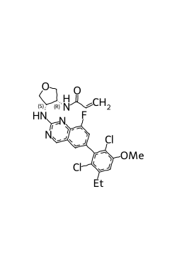 C=CC(=O)N[C@H]1COC[C@H]1Nc1ncc2cc(-c3c(Cl)c(CC)cc(OC)c3Cl)cc(F)c2n1